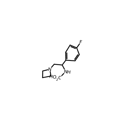 O=C(O)NC(CN1CCC1)c1ccc(F)cc1